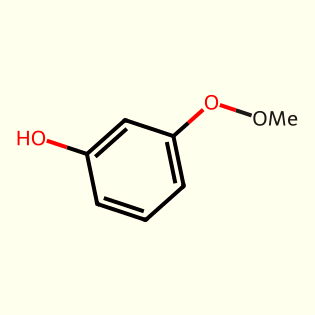 COOc1cccc(O)c1